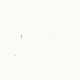 CCOC(=O)C(F)(F)c1nc(N2C[C@@H](O)C[C@H]2C(=O)OC(C)(C)C)c2oc3ccccc3c2n1.[Cu]